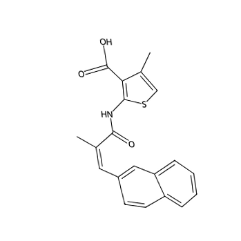 CC(=Cc1ccc2ccccc2c1)C(=O)Nc1scc(C)c1C(=O)O